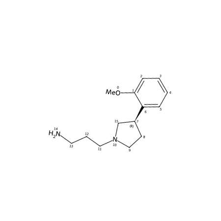 COc1ccccc1[C@H]1CCN(CCCN)C1